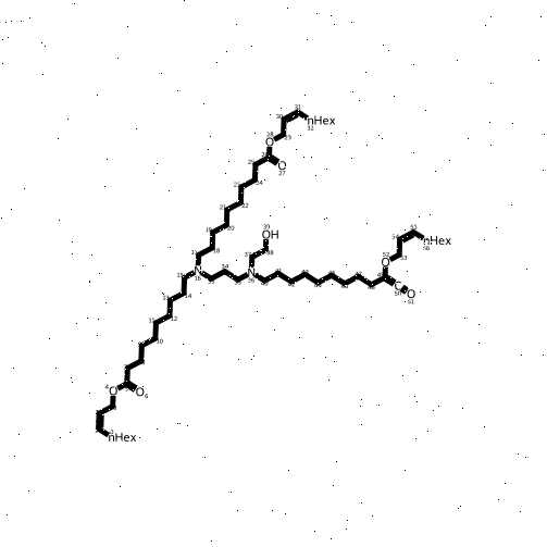 CCCCCC/C=C\COC(=O)CCCCCCCCCN(CCCCCCCCCC(=O)OC/C=C\CCCCCC)CCCN(CCO)CCCCCCCCCC(=C=O)OC/C=C\CCCCCC